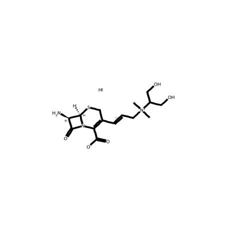 C[N+](C)(C/C=C/C1=C(C(=O)[O-])N2C(=O)[C@@H](N)[C@H]2SC1)C(CO)CO.I